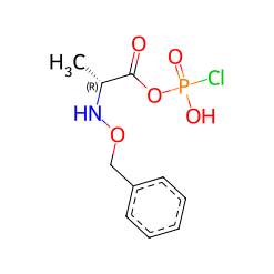 C[C@@H](NOCc1ccccc1)C(=O)OP(=O)(O)Cl